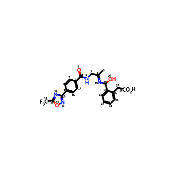 CC(CNC(=O)c1ccc(-c2noc(C(F)(F)F)n2)cc1)=NC(O)c1ccccc1CC(=O)O